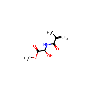 C=C(C)C(=O)NC(O)C(=O)OC